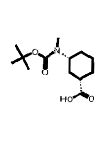 CN(C(=O)OC(C)(C)C)[C@@H]1CCC[C@H](C(=O)O)C1